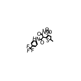 CC1CC2=C(S1)C(C(=O)Nc1ccc(C(F)(F)F)cc1)C(=O)N(C)S2(=O)=O